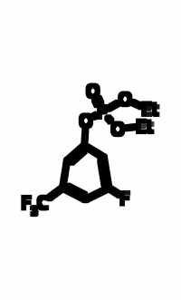 CCOP(=O)(OCC)Oc1cc(F)cc(C(F)(F)F)c1